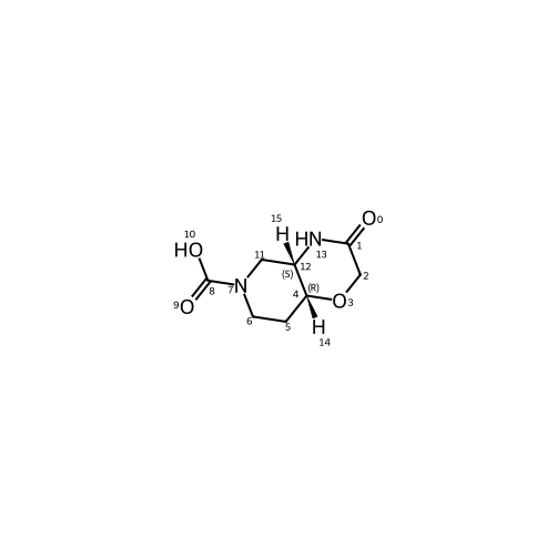 O=C1CO[C@@H]2CCN(C(=O)O)C[C@@H]2N1